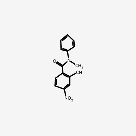 CN(C(=O)c1ccc([N+](=O)[O-])cc1C#N)c1ccccc1